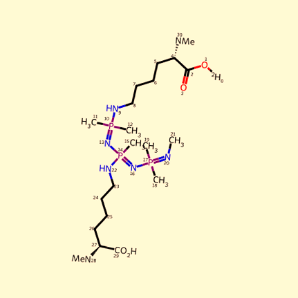 [2H]OC(=O)[C@H](CCCCNP(C)(C)=NP(C)(=NP(C)(C)=NC)NCCCC[C@H](NC)C(=O)O)NC